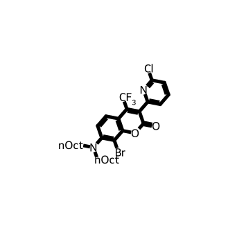 CCCCCCCCN(CCCCCCCC)c1ccc2c(C(F)(F)F)c(-c3cccc(Cl)n3)c(=O)oc2c1Br